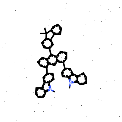 Cn1c2ccccc2c2cc(-c3cccc4c(-c5ccc6c(c5)-c5ccccc5C6(C)C)c5cccc(-c6ccc7c(c6)c6ccccc6n7C)c5cc34)ccc21